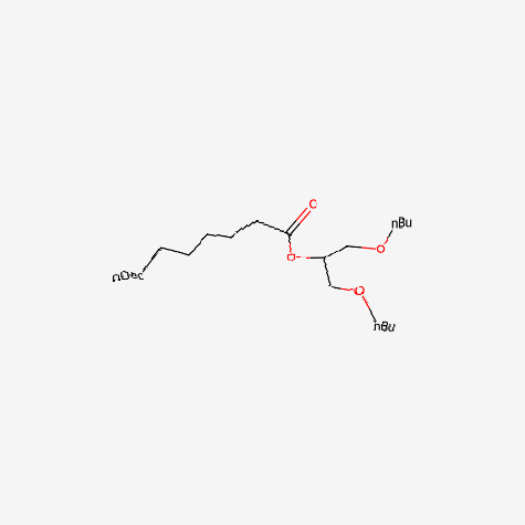 CCCCCCCCCCCCCCCC(=O)OC(COCCCC)COCCCC